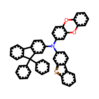 c1ccc(C2(c3ccccc3)c3ccccc3-c3ccc(N(c4ccc5c(c4)Oc4ccccc4O5)c4ccc5c(c4)sc4ccccc45)cc32)cc1